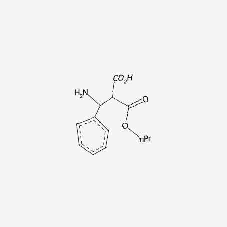 CCCOC(=O)C(C(=O)O)C(N)c1ccccc1